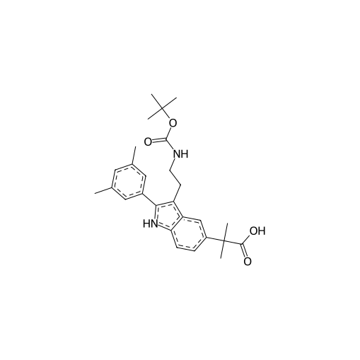 Cc1cc(C)cc(-c2[nH]c3ccc(C(C)(C)C(=O)O)cc3c2CCNC(=O)OC(C)(C)C)c1